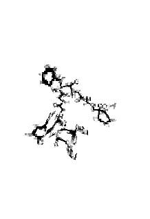 CC(C)(C)OC(=O)CN(C[C@@H](C(=O)NCC(=O)NCC(=O)N[C@@H](Cc1ccccc1)C(=O)NCC(=O)NCOCC1(C(=O)O)CCCC1)N1C(=O)C=CC1=O)C(=O)OC(C)(C)C